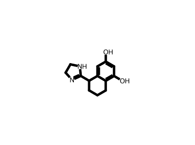 Oc1cc(O)c2c(c1)C(C1=NCCN1)CCC2